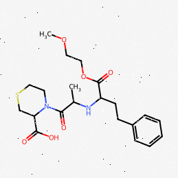 COCCOC(=O)C(CCc1ccccc1)NC(C)C(=O)N1CCSCC1C(=O)O